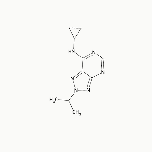 CC(C)n1nc2ncnc(NC3CC3)c2n1